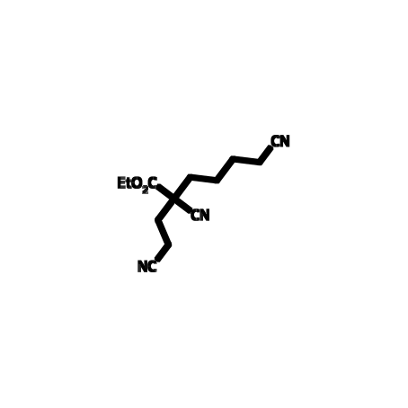 CCOC(=O)C(C#N)(CCC#N)CCCCC#N